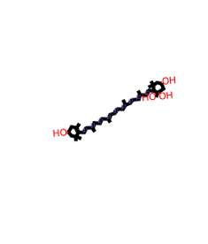 CC1=C(/C=C/C(C)=C/C=C/C(C)=C/C=C/C=C(C)/C=C/C=C(C)/C=C/C2(O)C(C)(C)CC(O)CC2(C)O)C(C)(C)CC(O)C1